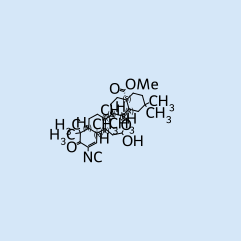 [C-]#[N+]C1=C[C@]2(C)[C@H]3CC(O)O[C@@H]4[C@@H]5CC(C)(C)CC[C@]5(C(=O)OC)CC[C@@]4(C)[C@]3(C)CC[C@H]2C(C)(C)C1=O